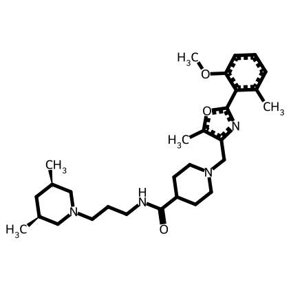 COc1cccc(C)c1-c1nc(CN2CCC(C(=O)NCCCN3C[C@H](C)C[C@H](C)C3)CC2)c(C)o1